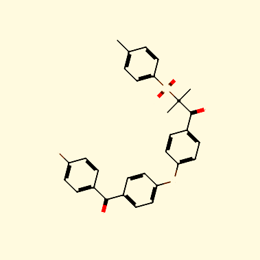 Cc1ccc(S(=O)(=O)C(C)(C)C(=O)c2ccc(Sc3ccc(C(=O)c4ccc(S)cc4)cc3)cc2)cc1